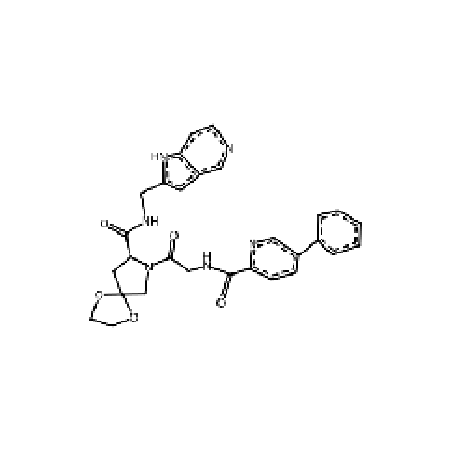 O=C(NCC(=O)N1CC2(C[C@H]1C(=O)NCc1cc3cnccc3[nH]1)OCCO2)c1ccc(-c2ccccc2)cn1